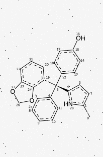 Cc1ccc([C@](c2ccccc2)(c2ccc(O)cc2)c2cccc3c2OCO3)[nH]1